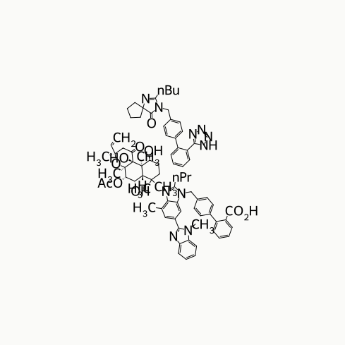 C=C[C@@]1(C)CC(=O)[C@]2(O)[C@@]3(C)[C@@H](O)CCC(C)(C)[C@@H]3[C@H](O)[C@H](OC(C)=O)[C@@]2(C)O1.CCCCC1=NC2(CCCC2)C(=O)N1Cc1ccc(-c2ccccc2-c2nnn[nH]2)cc1.CCCc1nc2c(C)cc(-c3nc4ccccc4n3C)cc2n1Cc1ccc(-c2ccccc2C(=O)O)cc1